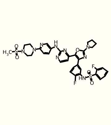 CS(=O)(=O)N1CCN(c2ccc(Nc3nccc(-c4oc(N5CCCC5)nc4-c4ccc(F)c(NS(=O)(=O)c5ccccc5F)c4)n3)cn2)CC1